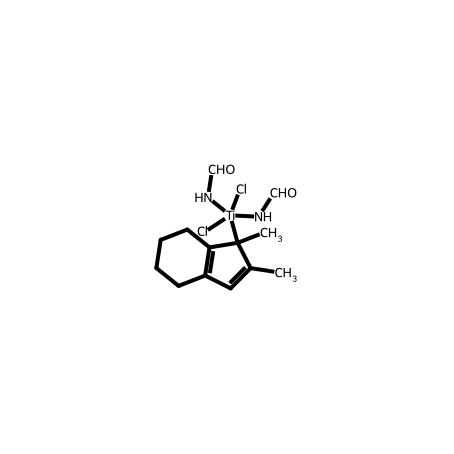 CC1=CC2=C(CCCC2)[C]1(C)[Ti]([Cl])([Cl])([NH]C=O)[NH]C=O